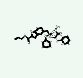 C=CCOC(=O)c1cc2cc(CP(=O)(N[C@@H](Cc3ccccn3)C(=O)OCCC)Oc3ccccc3)ccc2s1